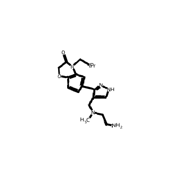 CC(C)CN1C(=O)COc2ccc(-c3n[nH]cc3CN(C)CCN)cc21